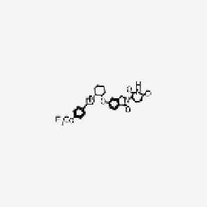 O=C1CCC(N2Cc3cc(O[C@H]4CCCC[C@@H]4N4CC(c5ccc(OC(F)(F)F)cc5)C4)ccc3C2=O)C(=O)N1